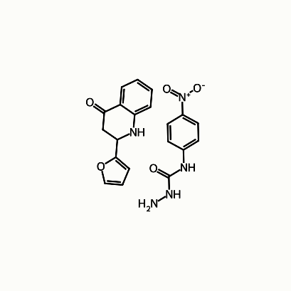 NNC(=O)Nc1ccc([N+](=O)[O-])cc1.O=C1CC(c2ccco2)Nc2ccccc21